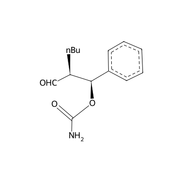 CCCC[C@H](C=O)[C@H](OC(N)=O)c1ccccc1